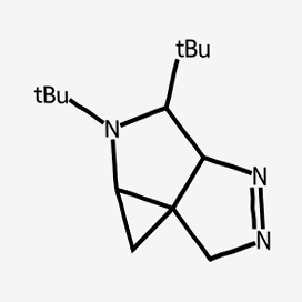 CC(C)(C)C1C2N=NCC23CC3N1C(C)(C)C